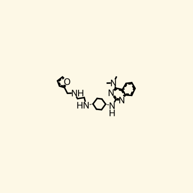 CN(C)c1nc(N[C@H]2CC[C@@H](NCCNCc3ccco3)CC2)nc2ccccc12